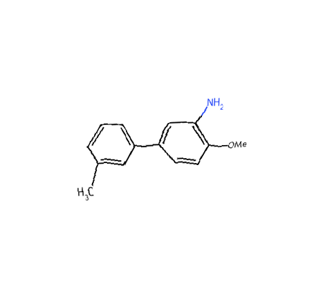 COc1ccc(-c2cccc(C)c2)cc1N